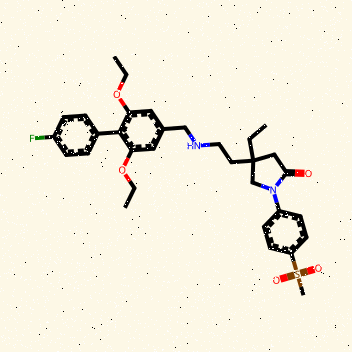 CCOc1cc(CNCCC2(CC)CC(=O)N(c3ccc(S(C)(=O)=O)cc3)C2)cc(OCC)c1-c1ccc(F)cc1